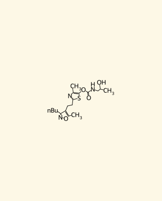 CCCCc1noc(C)c1CCc1nc(C)c(OC(=O)NCC(C)O)s1